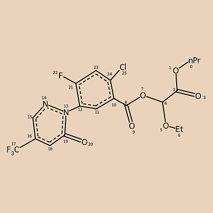 CCCOC(=O)C(OCC)OC(=O)c1cc(-n2ncc(C(F)(F)F)cc2=O)c(F)cc1Cl